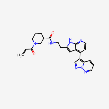 C=CC(=O)N1CCC[C@H](C(=O)NCCc2cc3c(-c4cnn5ncccc45)ccnc3[nH]2)C1